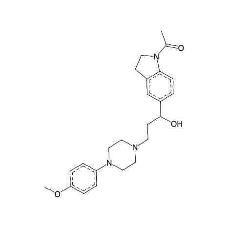 COc1ccc(N2CCN(CCC(O)c3ccc4c(c3)CCN4C(C)=O)CC2)cc1